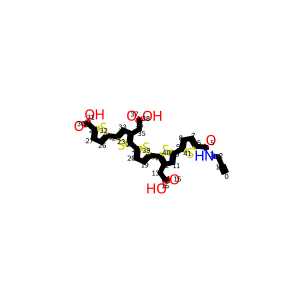 C#CCNC(=O)c1ccc(-c2cc(CC(=O)O)c(-c3ccc(-c4sc(-c5ccc(C(=O)O)s5)cc4CC(=O)O)s3)s2)s1